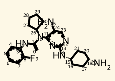 C=C(Nc1ccccc1F)N(c1nc(N[C@H]2CC[C@@H](N)CC2)ncc1N)C1CCCC1